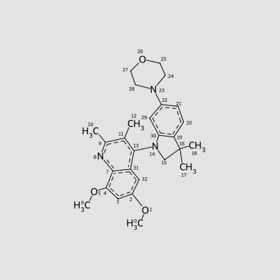 COc1cc(OC)c2nc(C)c(C)c(N3CC(C)(C)c4ccc(N5CCOCC5)cc43)c2c1